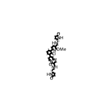 COc1nc(-c2cccc(-c3ccn4c(=O)c(CNCC[C@@H]5CCC(=O)N5)cnc4c3)c2Cl)ccc1CNC[C@@H]1CCC(=O)N1